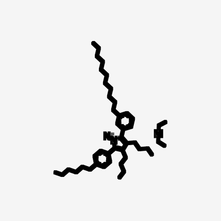 CCCCCCCCCCCc1cccc(C2=C(CCCC)C(CCCC)=C(c3ccc(CCCCCC)cc3)[N+]2=[N-])c1.C[CH2][Ni][CH2]C